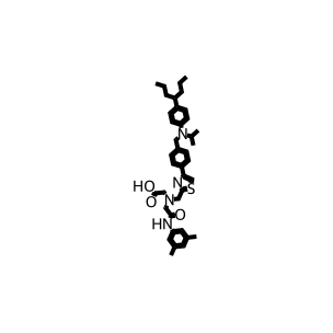 CCCC(CCC)c1ccc(N(Cc2ccc(-c3csc(CN(CC(=O)O)CC(=O)Nc4cc(C)cc(C)c4)n3)cc2)C(C)C)cc1